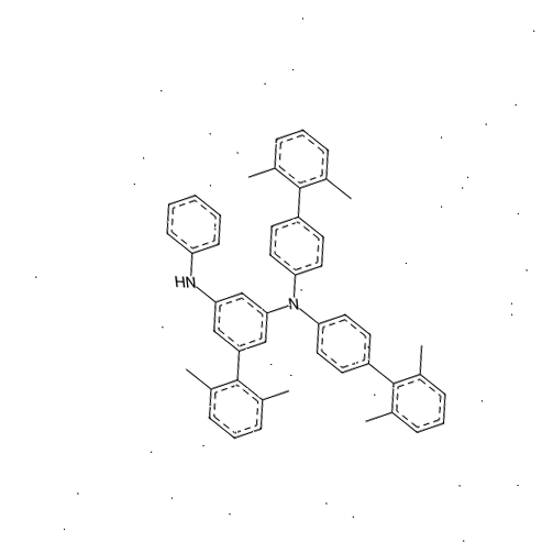 Cc1cccc(C)c1-c1ccc(N(c2ccc(-c3c(C)cccc3C)cc2)c2cc(Nc3ccccc3)cc(-c3c(C)cccc3C)c2)cc1